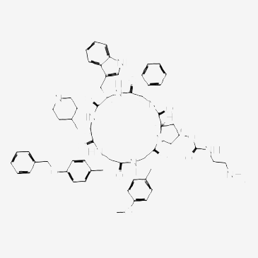 COc1ccc(C[C@@H]2NC(=O)[C@H](Cc3ccc(OCc4ccccc4)cc3)NC(=O)[C@H](CC3CCNCC3)NC(=O)[C@@H](Cc3c[nH]c4ccccc34)NC(=O)[C@H](c3ccccc3)NC(=O)[C@@H]3C[C@@H](OC(=O)NCCN)CN3C2=O)cc1